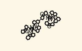 c1ccc2c3c(ccc2c1)-c1cc(-c2ccc4c(c2)oc2cccc(-c5nc(-c6cccc7oc8ccccc8c67)nc(N6c7c(ccc8ccccc78)-c7cccc8cccc6c78)n5)c24)cc2cccc(c12)N3c1nc(-c2cccc3c2oc2ccccc23)nc(-c2cccc3c2oc2ccccc23)n1